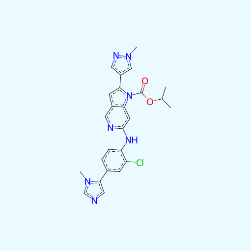 CC(C)OC(=O)n1c(-c2cnn(C)c2)cc2cnc(Nc3ccc(-c4cncn4C)cc3Cl)cc21